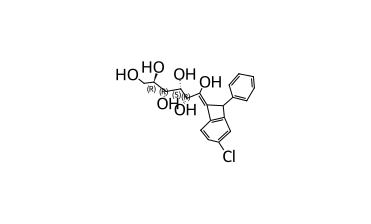 OC[C@@H](O)[C@@H](O)[C@H](O)[C@@H](O)C(O)=C1c2ccc(Cl)cc2C1c1ccccc1